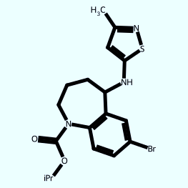 Cc1cc(NC2CCCN(C(=O)OC(C)C)c3ccc(Br)cc32)sn1